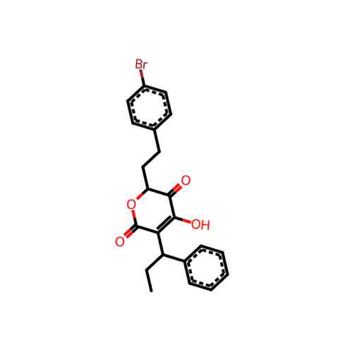 CCC(C1=C(O)C(=O)C(CCc2ccc(Br)cc2)OC1=O)c1ccccc1